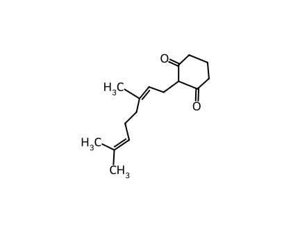 CC(C)=CCCC(C)=CCC1C(=O)CCCC1=O